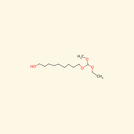 CCOC(OC)OCCCCCCCCCO